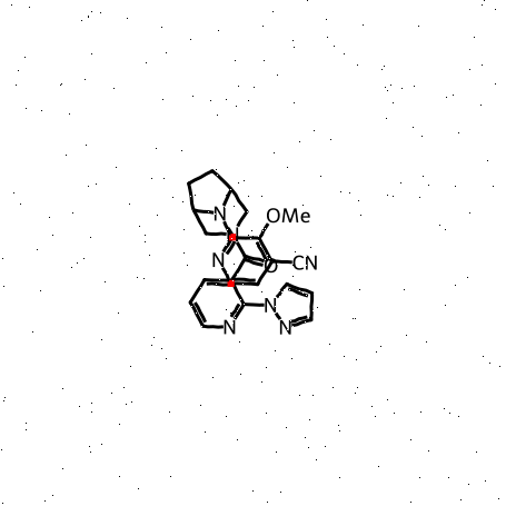 COc1c(C#N)ccnc1N1C2CCC1CN(C(=O)c1cccnc1-n1cccn1)C2